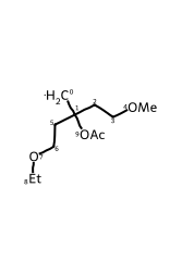 [CH2]C(CCOC)(CCOCC)OC(C)=O